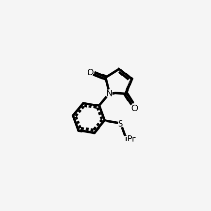 CC(C)Sc1ccccc1N1C(=O)C=CC1=O